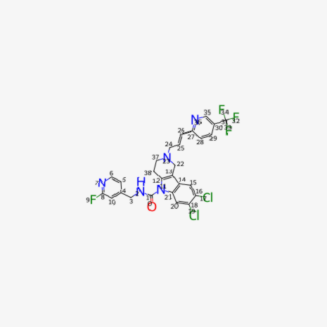 O=C(NCc1ccnc(F)c1)n1c2c(c3cc(Cl)c(Cl)cc31)CN(CC=Cc1ccc(C(F)(F)F)cn1)CC2